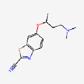 CC(CCN(C)C)Oc1ccc2nc(C#N)sc2c1